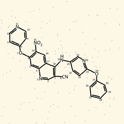 N#Cc1cnc2cc(Oc3ccncc3)c([N+](=O)[O-])cc2c1Nc1ccc(Oc2ccccc2)nc1